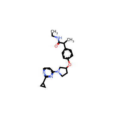 CCNC(=O)C(C)c1ccc(OC2CCN(c3ccnc(C4CC4)n3)C2)cc1